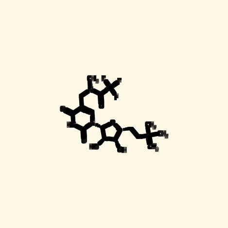 C=P(C)(C)CC[C@H]1O[C@@H](n2cc(CN(C)C(=O)C(F)(F)F)c(=O)[nH]c2=O)[C@H](O)[C@@H]1O